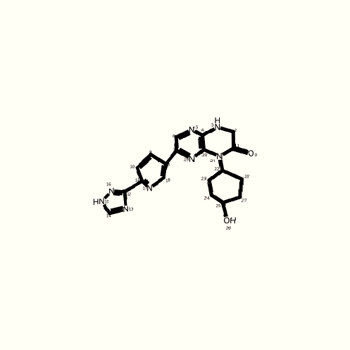 O=C1CNc2ncc(-c3ccc(-c4nc[nH]n4)nc3)nc2N1C1CCC(O)CC1